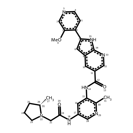 COc1cnccc1-c1cc2cc(C(=O)Nc3cc(NC(=O)CN4CCC[C@@H]4C)cnc3C)cnc2[nH]1